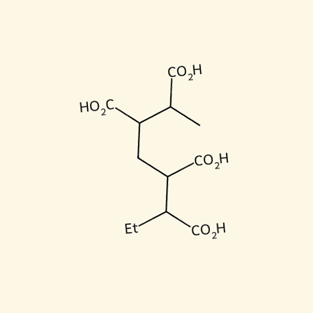 [CH2]CC(C(=O)O)C(CC(C(=O)O)C(C)C(=O)O)C(=O)O